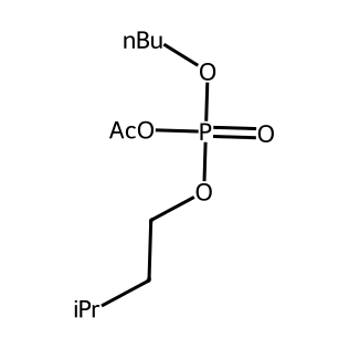 CCCCOP(=O)(OCCC(C)C)OC(C)=O